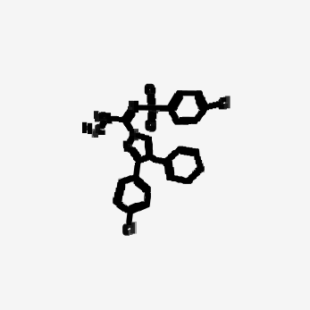 CNC(=NS(=O)(=O)c1ccc(Cl)cc1)n1cc(C2=CCCC=C2)c(-c2ccc(Cl)cc2)n1